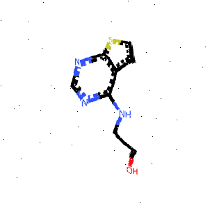 OCCNc1ncnc2sccc12